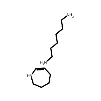 C1=CNCCCC1.NCCCCCCN